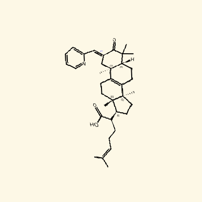 CC(C)=CCCC(C(=O)O)[C@@H]1CC[C@]2(C)C3=C(CC[C@@]12C)[C@@]1(C)C/C(=C\c2ccccn2)C(=O)C(C)(C)[C@@H]1CC3